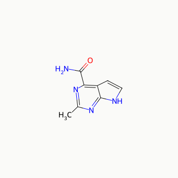 Cc1nc(C(N)=O)c2cc[nH]c2n1